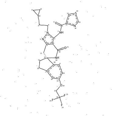 O=C(Nc1c2c(nn1CCC1CC1)C[C@]1(CCc3cc(OCC(F)(F)F)ccc31)NC2=O)c1cscn1